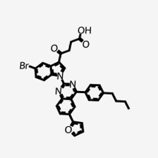 CCCCc1ccc(-c2nc(-n3cc(C(=O)CCC(=O)O)c4cc(Br)ccc43)nc3ccc(-c4ccco4)cc23)cc1